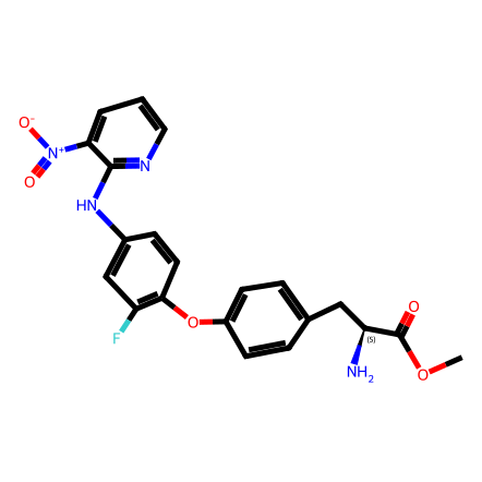 COC(=O)[C@@H](N)Cc1ccc(Oc2ccc(Nc3ncccc3[N+](=O)[O-])cc2F)cc1